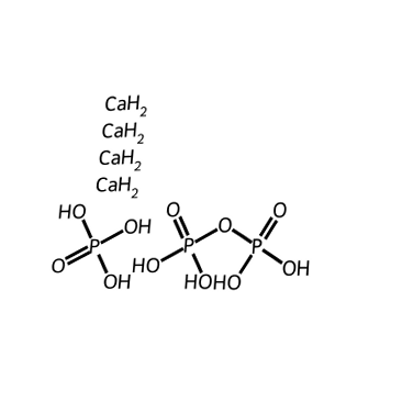 O=P(O)(O)O.O=P(O)(O)OP(=O)(O)O.[CaH2].[CaH2].[CaH2].[CaH2]